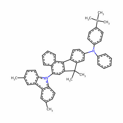 Cc1ccc2c(c1)c1cc(C)ccc1n2-c1cc2c(c3ccccc13)-c1ccc(N(c3ccccc3)c3ccc([Si](C)(C)C)cc3)cc1C2(C)C